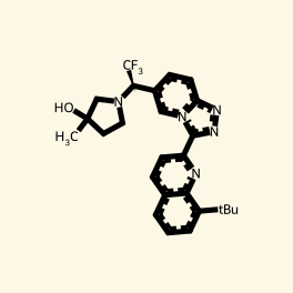 CC1(O)CCN([C@H](c2ccc3nnc(-c4ccc5cccc(C(C)(C)C)c5n4)n3c2)C(F)(F)F)C1